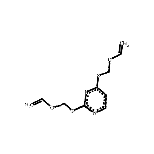 C=COCSc1ccnc(SCOC=C)n1